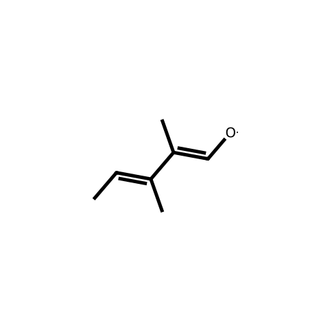 C/C=C(C)/C(C)=C/[O]